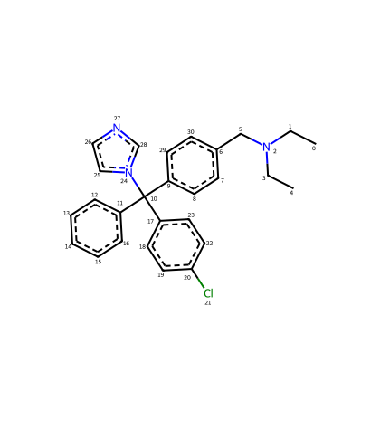 CCN(CC)Cc1ccc(C(c2ccccc2)(c2ccc(Cl)cc2)n2ccnc2)cc1